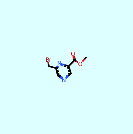 COC(=O)c1cncc(CBr)n1